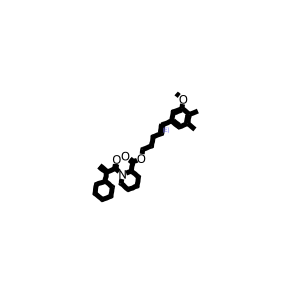 C=C(C(=O)N1CCCCC1C(=O)OCCC/C=C/c1cc(C)c(C)c(OC)c1)C1CCCCC1